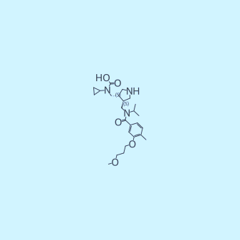 COCCCOc1cc(C(=O)N(C[C@@H]2CNC[C@H]2CN(C(=O)O)C2CC2)C(C)C)ccc1C